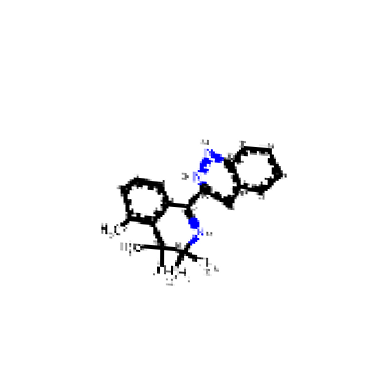 Cc1cccc2c1C(C)(C)C(C)(C)N=C2c1cc2ccccc2nn1